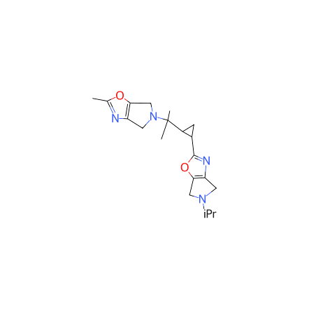 Cc1nc2c(o1)CN(C(C)(C)C1CC1c1nc3c(o1)CN(C(C)C)C3)C2